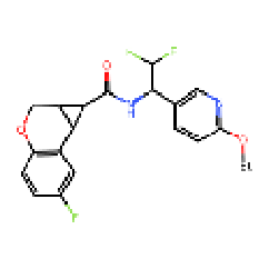 CCOc1ccc([C@@H](NC(=O)C2C3COc4ccc(F)cc4C32)C(F)F)cn1